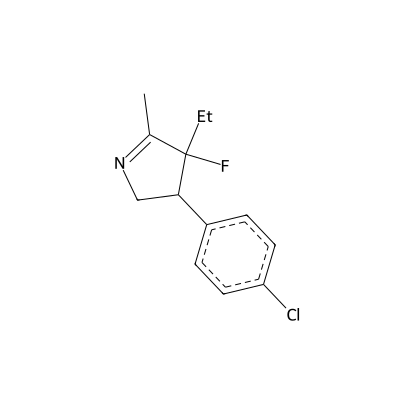 CCC1(F)C(C)=NCC1c1ccc(Cl)cc1